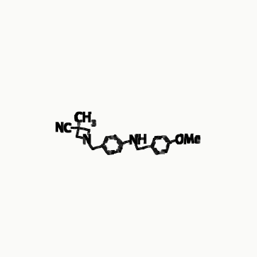 COc1ccc(CNc2ccc(CN3CC(C)(C#N)C3)cc2)cc1